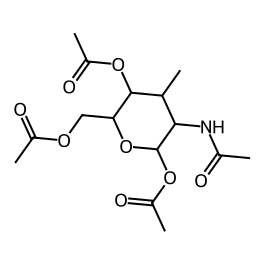 CC(=O)NC1C(OC(C)=O)OC(COC(C)=O)C(OC(C)=O)C1C